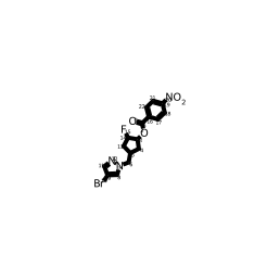 O=C(OC1CC(Cn2cc(Br)cn2)CC1F)c1ccc([N+](=O)[O-])cc1